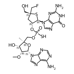 CO[C@H]1[C@@H](n2cnc3c(N)ncnc32)O[C@](C)(COP(=O)(S)O[C@@H]2C[C@](CO)(CF)S[C@H]2n2cnc3c(=O)[nH]c(N)nc32)[C@H]1O